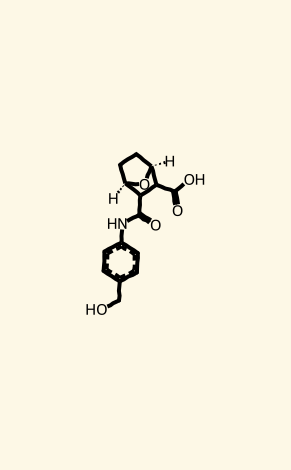 O=C(O)C1C(C(=O)Nc2ccc(CO)cc2)[C@H]2CC[C@@H]1O2